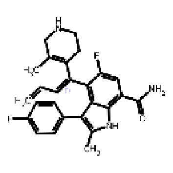 C=C/C=C(\C1=C(C)CNCC1)c1c(F)cc(C(N)=O)c2[nH]c(C)c(-c3ccc(F)cc3)c12